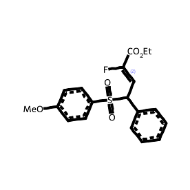 CCOC(=O)/C(F)=C/C(c1ccccc1)S(=O)(=O)c1ccc(OC)cc1